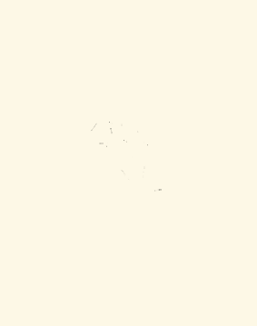 O=C(O)c1cccc(N2CCCCC2(O)Nc2ncccn2)c1